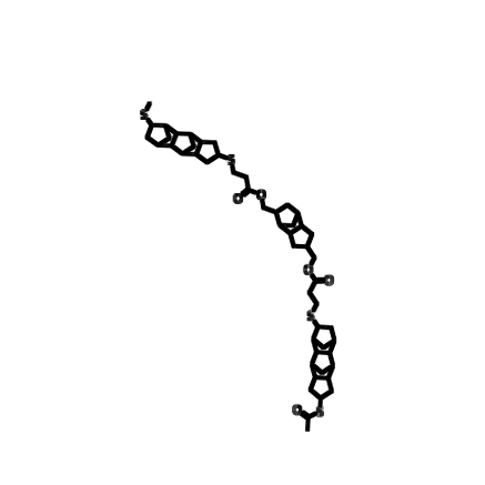 CSC1CC2CC1C1C3CC(C4CC(SCCC(=O)OCC5CC6CC5C5CC(COC(=O)CCSC7CC8CC7C7C9CC(C%10CC(SC(C)=O)CC%109)C87)CC65)CC43)C21